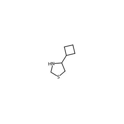 C1CC(C2CSCN2)C1